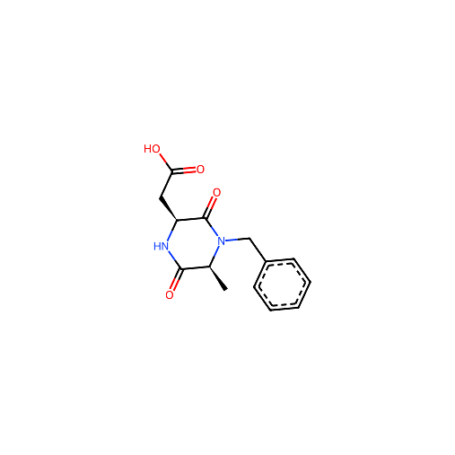 C[C@H]1C(=O)N[C@@H](CC(=O)O)C(=O)N1Cc1ccccc1